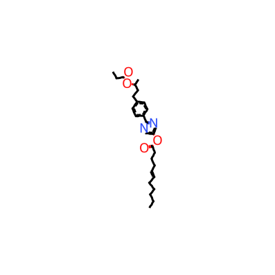 CCCCCC=CCCCC(=O)Oc1cnc(-c2ccc(CCC(C)OC(=O)CC)cc2)nc1